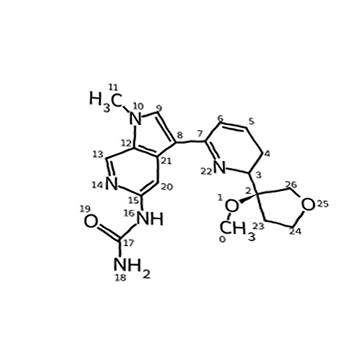 CO[C@]1(C2CC=CC(c3cn(C)c4cnc(NC(N)=O)cc34)=N2)CCOC1